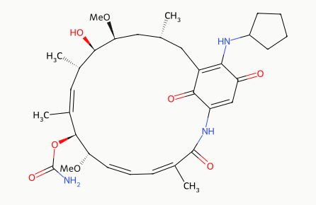 CO[C@H]1C=CC=C(C)C(=O)NC2=CC(=O)C(NC3CCCC3)=C(C[C@@H](C)C[C@H](OC)[C@H](O)[C@@H](C)C=C(C)[C@@H]1OC(N)=O)C2=O